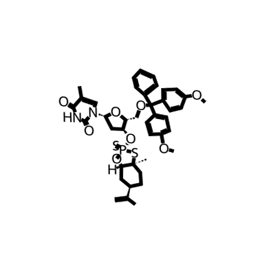 C=C(C)[C@@H]1CC[C@]2(C)S[P@](=S)(O[C@H]3C[C@H](n4cc(C)c(=O)[nH]c4=O)O[C@@H]3COC(c3ccccc3)(c3ccc(OC)cc3)c3ccc(OC)cc3)O[C@H]2C1